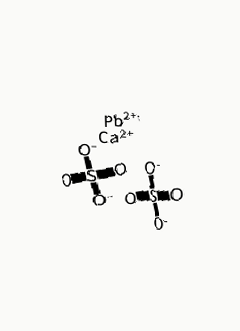 O=S(=O)([O-])[O-].O=S(=O)([O-])[O-].[Ca+2].[Pb+2]